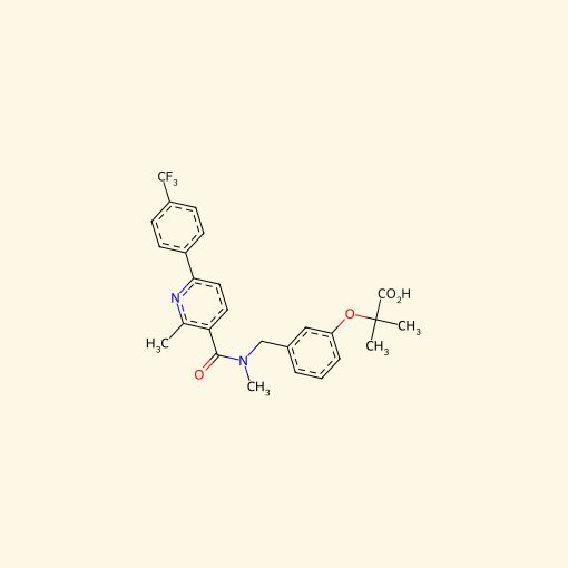 Cc1nc(-c2ccc(C(F)(F)F)cc2)ccc1C(=O)N(C)Cc1cccc(OC(C)(C)C(=O)O)c1